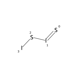 S=ISI